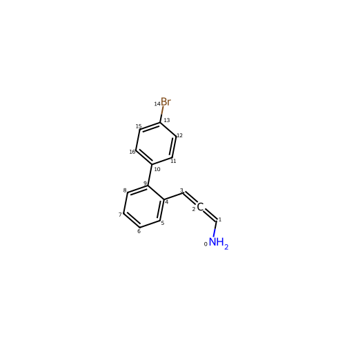 NC=C=Cc1ccccc1-c1ccc(Br)cc1